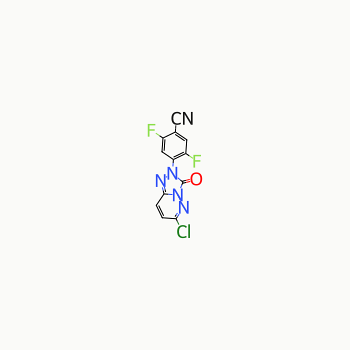 N#Cc1cc(F)c(-n2nc3ccc(Cl)nn3c2=O)cc1F